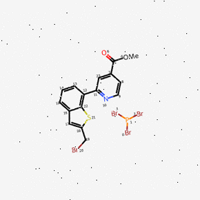 BrP(Br)Br.COC(=O)c1ccnc(-c2cccc3cc(CBr)sc23)c1